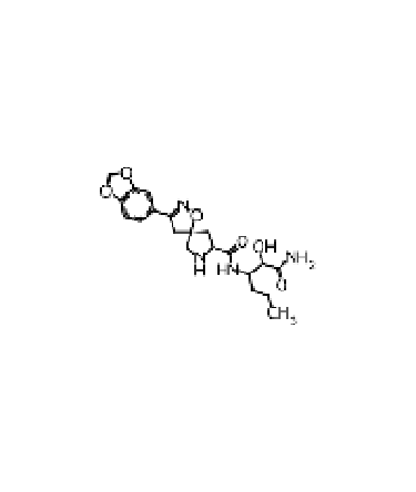 CCCC(NC(=O)[C@@H]1C[C@@]2(CN1)CC(c1ccc3c(c1)OCO3)=NO2)C(O)C(N)=O